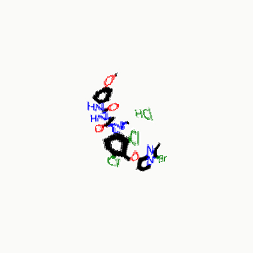 COc1ccc(NC(=O)NCC(=O)N(C)c2ccc(Cl)c(COc3cccn4c(Br)c(C)nc34)c2Cl)cc1.Cl